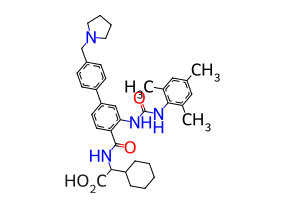 Cc1cc(C)c(NC(=O)Nc2cc(-c3ccc(CN4CCCC4)cc3)ccc2C(=O)NC(C(=O)O)C2CCCCC2)c(C)c1